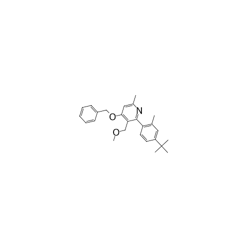 COCc1c(OCc2ccccc2)cc(C)nc1-c1ccc(C(C)(C)C)cc1C